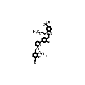 COCCn1c(Cc2ccc(-c3cccc(OCc4ccc(C#N)c(F)c4OC)n3)cc2F)nc2ccc(C(=O)O)cc21